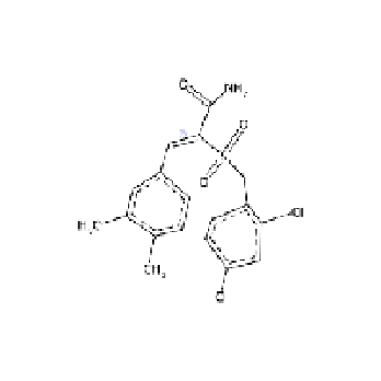 Cc1ccc(/C=C(/C(N)=O)S(=O)(=O)Cc2ccc(Cl)cc2Cl)cc1C